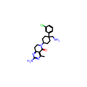 Cc1nc(N)nc2c1C(=O)N(C1CCC(CN)(c3cccc(Cl)c3)CC1)CC2